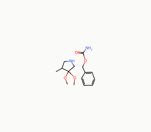 COC1(OC)CNCC1C.NC(=O)OCc1ccccc1